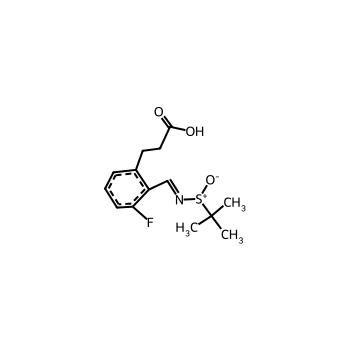 CC(C)(C)[S+]([O-])N=Cc1c(F)cccc1CCC(=O)O